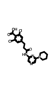 O=C(CCc1cc(Cl)c(C(=O)O)c(Cl)c1)Nc1cncc(N2CCCCC2)n1